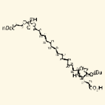 CCCCCCCCCCCCOP(=O)(O)OCCCCCCCCCCCCCCCC(=O)N[C@@H](CCC(=O)O)C(=O)OC(C)(C)C